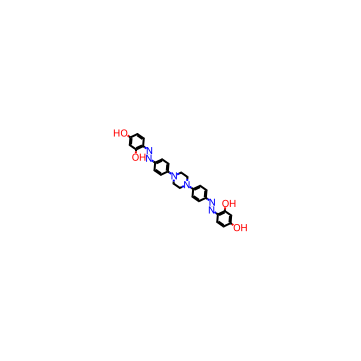 Oc1ccc(/N=N/c2ccc(N3CCN(c4ccc(/N=N/c5ccc(O)cc5O)cc4)CC3)cc2)c(O)c1